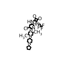 C[C@@H]1CN(c2ncc(Nc3c(NCC(F)(F)F)c(=O)c3=O)cc2Cl)[C@@H](C)CN1C1CCN(C2CCCC2)CC1